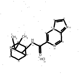 CC1(C)C(NC(=O)c2cn3ccnc3cn2)C2CCN1CC2.Cl